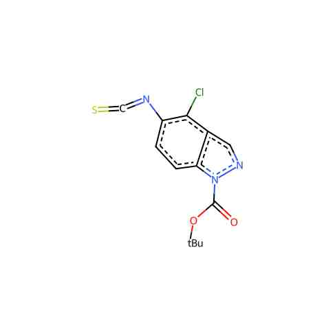 CC(C)(C)OC(=O)n1ncc2c(Cl)c(N=C=S)ccc21